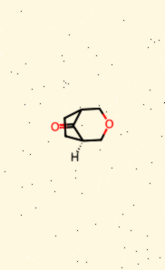 O=C1C2CC[C@@H]1COC2